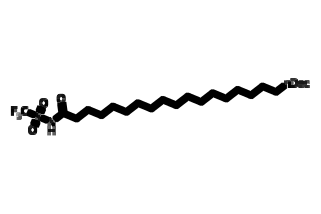 CCCCCCCCCCCCCCCCCCCCCCCCCCCC(=O)NS(=O)(=O)C(F)(F)F